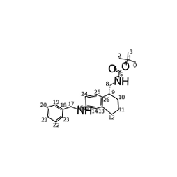 CC(C)(C)OC(=O)NC[C@@H]1CCCc2cc(NCc3ccccc3)ccc21